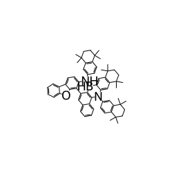 CC1(C)CCC(C)(C)c2cc(Nc3ccc4c(oc5ccccc54)c3-c3cc4ccccc4c4c3Bc3cc5c(cc3N4c3ccc4c(c3)C(C)(C)CCC4(C)C)C(C)(C)CCC5(C)C)ccc21